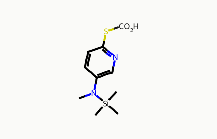 CN(c1ccc(SC(=O)O)nc1)[Si](C)(C)C